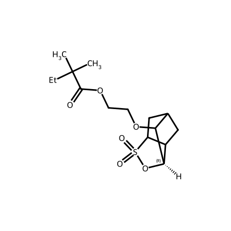 CCC(C)(C)C(=O)OCCOC1C2CC3C(C2)S(=O)(=O)O[C@H]31